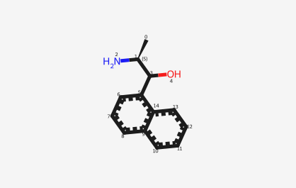 C[C@H](N)C(O)c1cccc2ccccc12